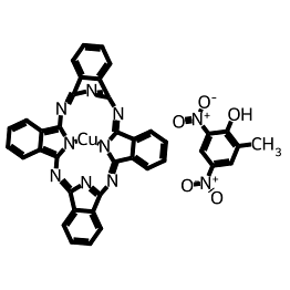 Cc1cc([N+](=O)[O-])cc([N+](=O)[O-])c1O.c1ccc2c(c1)C1=NC/2=N\c2c3ccccc3c3[n]2[Cu][n]2/c(c4ccccc4/c2=N/C2=N\C(=N/3)c3ccccc32)=N\1